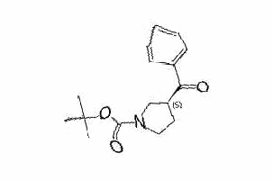 CC(C)(C)OC(=O)N1CC[C@H](C(=O)c2ccccc2)C1